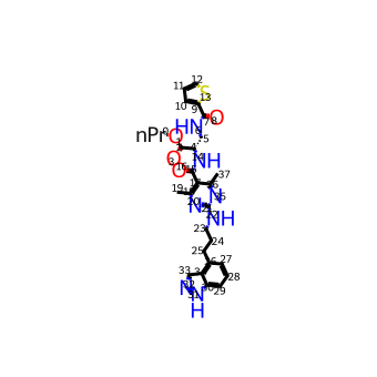 CCCOC(=O)[C@H](CNC(=O)c1cccs1)NC(=O)c1c(C)nc(NCCCc2cccc3[nH]ncc23)nc1C